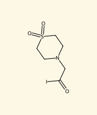 O=C(I)CN1CCS(=O)(=O)CC1